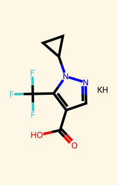 O=C(O)c1cnn(C2CC2)c1C(F)(F)F.[KH]